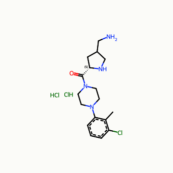 Cc1c(Cl)cccc1N1CCN(C(=O)[C@@H]2CC(CN)CN2)CC1.Cl.Cl